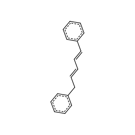 C(C=Cc1ccccc1)=CCc1ccccc1